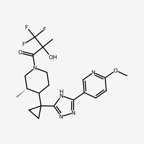 COc1ccc(-c2nnc(C3(C4CCN(C(=O)C(C)(O)C(F)(F)F)C[C@H]4C)CC3)[nH]2)cn1